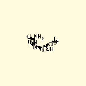 CN(CCN(C)c1nnc(Cl)c(N)n1)C[C@H](O)COCC(F)(F)F